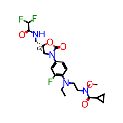 CCN(CCN(OC)C(=O)C1CC1)c1ccc(N2C[C@H](CNC(=O)C(F)F)OC2=O)cc1F